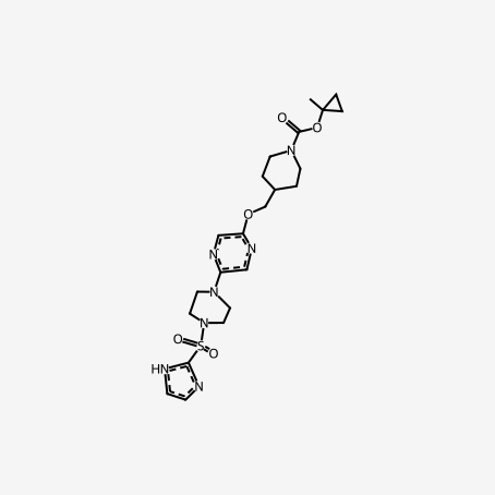 CC1(OC(=O)N2CCC(COc3cnc(N4CCN(S(=O)(=O)c5ncc[nH]5)CC4)cn3)CC2)CC1